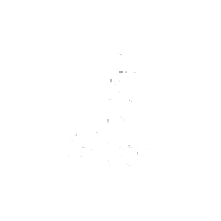 Cc1cc2nc(C(O)[C@@]3(CCCNC(=O)[C@@H]4C[C@@H](NC(=O)CN)CN4)C=CC=CC3)oc2cc1C